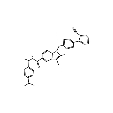 Cc1c(C)n(Cc2ccc(-c3ccccc3C#N)cc2)c2ccc(C(=O)NC(C)c3ccc(C(C)C)cc3)cc12